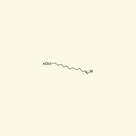 CCCCCCCCCCCCCCCCCC/C=C/[N]